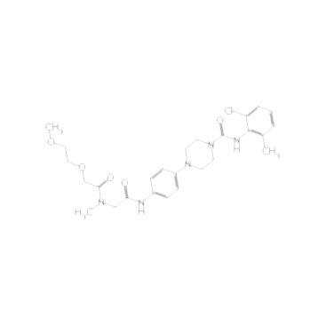 COCCOCC(=O)N(C)CC(=O)Nc1ccc(N2CCN(C(=O)Nc3c(C)cccc3Cl)CC2)cc1